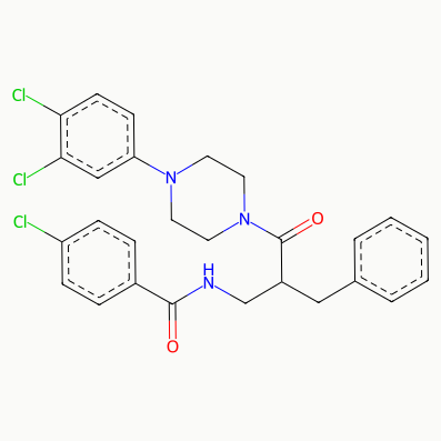 O=C(NCC(Cc1ccccc1)C(=O)N1CCN(c2ccc(Cl)c(Cl)c2)CC1)c1ccc(Cl)cc1